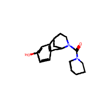 O=C(N1CCCCC1)N1CCC2CC1c1ccc(O)cc12